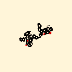 c1ccc2c(c1)Sc1cc3c4c5ccccc5ccc4n(-c4ccc(Cc5ccc6c(ccc7c6c6cc8c(cc6n7-c6nc(-c7ccc9ccccc9c7)c7ccccc7n6)C6(c7ccccc7S8)c7ccccc7-c7ccccc76)c5)cc4)c3cc1C21c2ccccc2-c2ccccc21